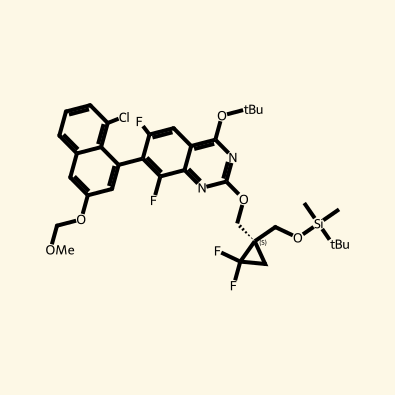 COCOc1cc(-c2c(F)cc3c(OC(C)(C)C)nc(OC[C@]4(CO[Si](C)(C)C(C)(C)C)CC4(F)F)nc3c2F)c2c(Cl)cccc2c1